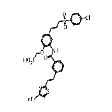 CCCc1csc(C=Cc2cccc(C(=O)Nc3cc(CCCS(=O)(=O)c4ccc(Cl)cc4)ccc3OCC(=O)O)c2)n1